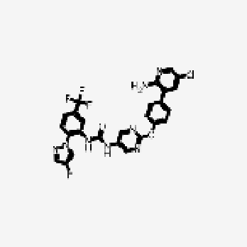 Nc1ncc(Cl)cc1-c1ccc(Oc2ncc(NC(=O)Nc3cc(C(F)(F)F)ccc3-n3cc(F)cn3)cn2)cc1